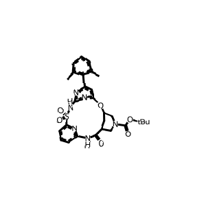 Cc1cccc(C)c1-c1cc2nc(n1)NS(=O)(=O)c1cccc(n1)NC(=O)C1CC(CN(C(=O)OC(C)(C)C)C1)O2